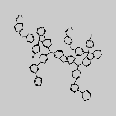 C=CC1=CC=C(OC2C=CC(C3(c4ccc(F)cc4)C4=C(CCC=C4)C4=C3CC(N(c3ccc5c(c3)SC3C=C(N(C6=CCC(c7cccc(-c8ccccc8)c7)C=C6)C6=CC7=C(CC6)c6ccccc6C7(C6=CCC(OC7=CCC(C=C)C=C7)C=C6)C6=CC=C(F)CC6)C=CC53)C3C=CC(c5cccc(C6=CCCC=C6)c5)=CC3)C=C4)=CC2)CC1